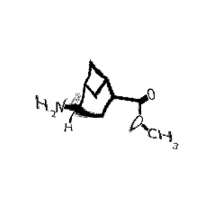 COC(=O)C1C[C@H](N)C2CC1C2